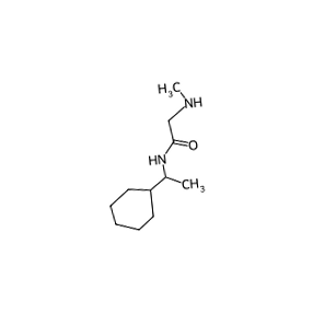 CNCC(=O)NC(C)C1CCCCC1